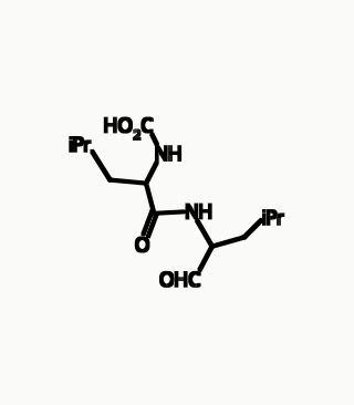 CC(C)CC(C=O)NC(=O)C(CC(C)C)NC(=O)O